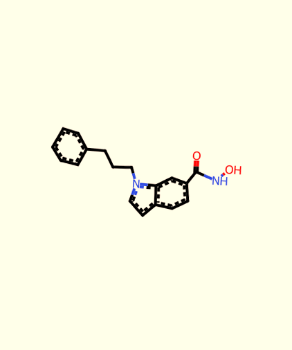 O=C(NO)c1ccc2ccn(CCCc3ccccc3)c2c1